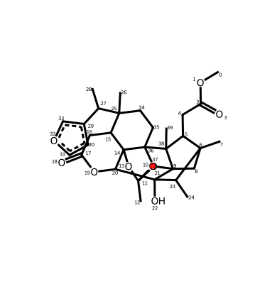 COC(=O)CC1C2(C)CC34OC5(C)OC67C(CC(=O)OC6C3(O)C2C)C(C)(C(C)c2ccoc2)CCC7(O5)C14C